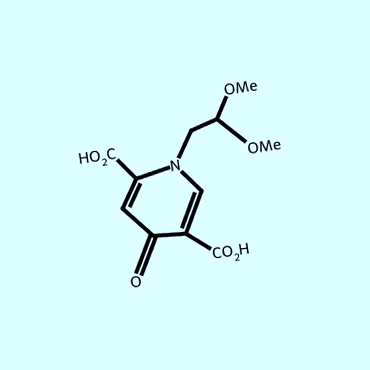 COC(Cn1cc(C(=O)O)c(=O)cc1C(=O)O)OC